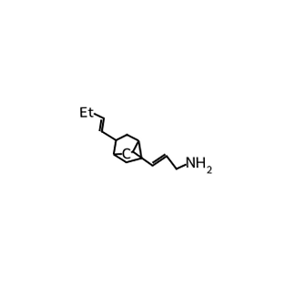 CC/C=C/C1CC2CCC1CC2/C=C/CN